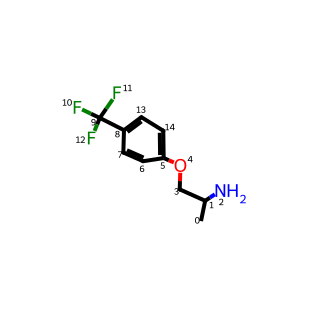 CC(N)COc1ccc(C(F)(F)F)cc1